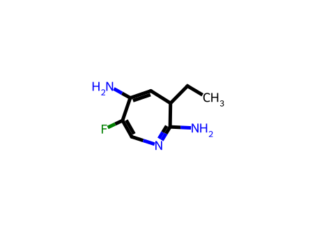 CCC1C=C(N)C(F)=CN=C1N